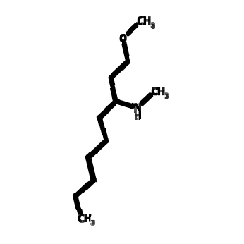 CCCCCCC(CCOC)NC